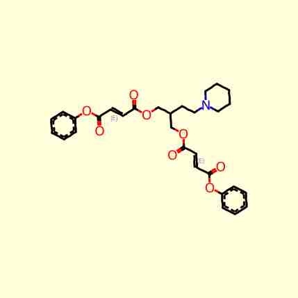 O=C(/C=C/C(=O)Oc1ccccc1)OCC(CCN1CCCCC1)COC(=O)/C=C/C(=O)Oc1ccccc1